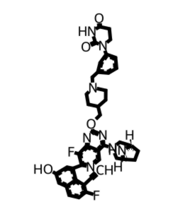 C#Cc1c(F)ccc2cc(O)cc(-c3ncc4c(N5C[C@H]6CC[C@@H](C5)N6)nc(OCC5CCN(Cc6cccc(N7CCC(=O)NC7=O)c6)CC5)nc4c3F)c12